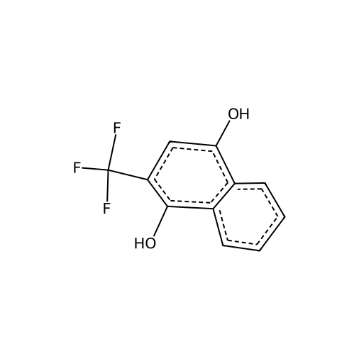 Oc1cc(C(F)(F)F)c(O)c2ccccc12